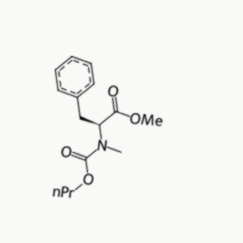 CCCOC(=O)N(C)[C@@H](Cc1ccccc1)C(=O)OC